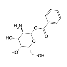 N[C@H]1C(OC(=O)c2ccccc2)O[C@H](CO)[C@H](O)[C@@H]1O